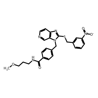 COCCCNC(=O)c1ccc(Cn2c(SCc3cccc([N+](=O)[O-])c3)nc3ccncc32)cc1